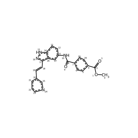 COC(=O)c1ccc(C(=O)Nc2ccc3[nH]nc(C=Cc4cccnc4)c3c2)cc1